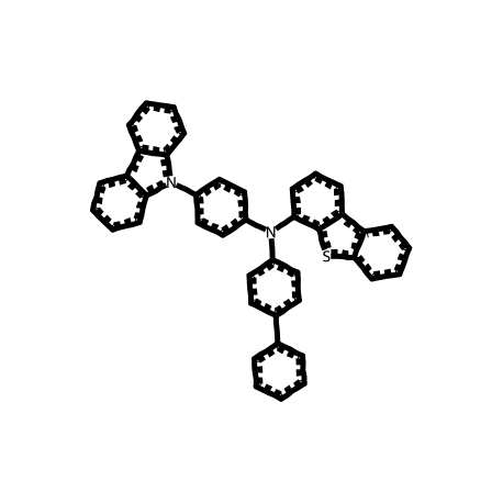 c1ccc(-c2ccc(N(c3ccc(-n4c5ccccc5c5ccccc54)cc3)c3cccc4c3sc3ccccc34)cc2)cc1